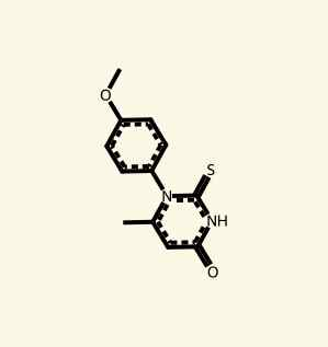 COc1ccc(-n2c(C)cc(=O)[nH]c2=S)cc1